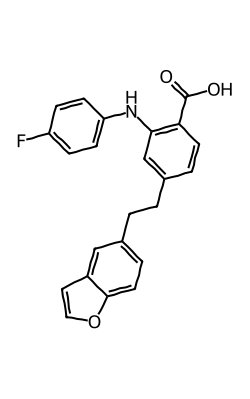 O=C(O)c1ccc(CCc2ccc3occc3c2)cc1Nc1ccc(F)cc1